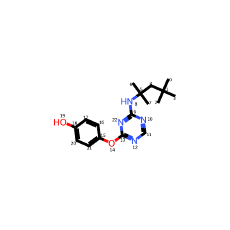 CC(C)(C)CC(C)(C)Nc1ncnc(Oc2ccc(O)cc2)n1